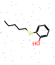 CCCCCSc1ccccc1O